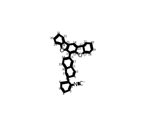 [C-]#[N+]c1ccccc1-c1ccc2cc(-c3c4oc5ccccc5c4cc4c3oc3ccccc34)ccc2c1